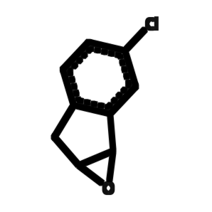 Clc1ccc2c(c1)C1OC1C2